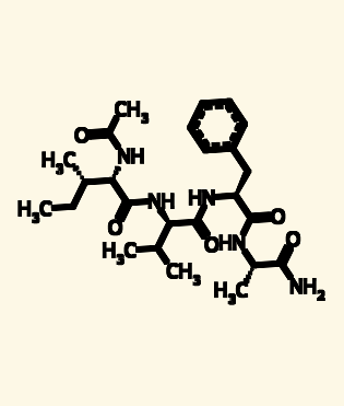 CC[C@H](C)[C@H](NC(C)=O)C(=O)N[C@@H](C(=O)N[C@@H](Cc1ccccc1)C(=O)N[C@@H](C)C(N)=O)C(C)C